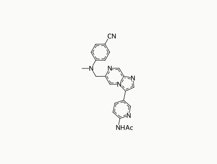 CC(=O)Nc1ccc(-c2cnc3cnc(CN(C)c4ccc(C#N)cc4)cn23)cn1